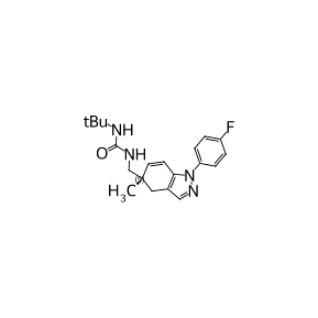 CC(C)(C)NC(=O)NC[C@]1(C)C=Cc2c(cnn2-c2ccc(F)cc2)C1